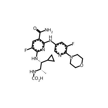 C[C@H](NC(=O)O)[C@H](Nc1nc(Nc2cnc(N3CCOCC3)c(F)c2)c(C(N)=O)cc1F)C1CC1